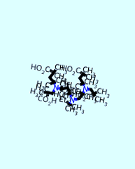 CCC(C)(C)N(CC(C)(C)N(CC(C)(C)C(=O)O)C(C)(C)CC(C)(C)C(=O)O)C(C)(C)CC(C)(C)N(CC(C)(C)C(=O)O)C(C)(C)CC(C)(C)C(=O)O